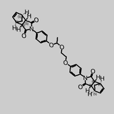 CC(OCCOc1ccc(N2C(=O)[C@@H]3[C@H](C2=O)[C@H]2C=C[C@@H]3C2)cc1)Oc1ccc(N2C(=O)[C@@H]3[C@H](C2=O)[C@H]2C=C[C@@H]3C2)cc1